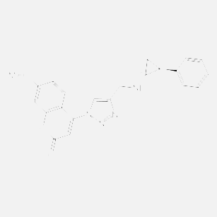 COc1ccc2c(-n3cc(CN[C@@H]4C[C@H]4c4ccccc4)nn3)cc(=O)oc2c1